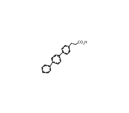 O=C(O)CCc1ccc(-c2ccc(-c3ccccc3)cc2)cc1